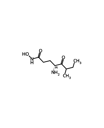 CCC(C)C(=O)[C@H](N)CCC(=O)NO